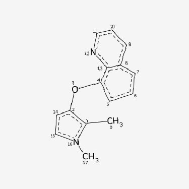 Cc1c(Oc2cccc3cccnc23)ccn1C